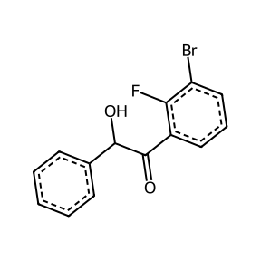 O=C(c1cccc(Br)c1F)C(O)c1ccccc1